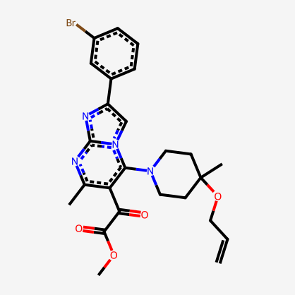 C=CCOC1(C)CCN(c2c(C(=O)C(=O)OC)c(C)nc3nc(-c4cccc(Br)c4)cn23)CC1